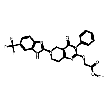 COC(=O)COc1nc2c(c(=O)n1-c1ccccc1)CN(c1nc3ccc(C(F)(F)F)cc3[nH]1)CC2